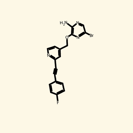 Nc1ncc(Br)nc1OCc1ccnc(C#Cc2ccc(F)cc2)c1